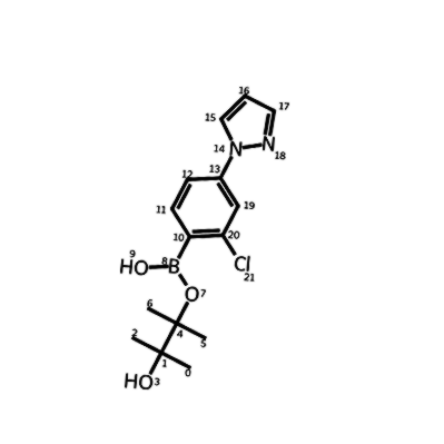 CC(C)(O)C(C)(C)OB(O)c1ccc(-n2cccn2)cc1Cl